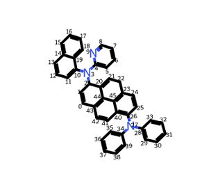 C1=CC(N(c2ccccn2)c2cccc3ccccc23)C2=CCc3ccc(N(c4ccccc4)c4ccccc4)c4ccc1c2c34